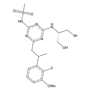 COc1cccc(C(C)Cc2nc(N[C@@H](CO)CC(C)C)nc(NS(C)(=O)=O)n2)c1F